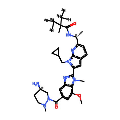 [2H]C([2H])([2H])C(C)(C(=O)N[C@H](C)c1ccc2cc(-c3nc4cc(C(=O)N5C[C@H](N)CCN5C)cc(OC)c4n3C)n(CC3CC3)c2n1)C([2H])([2H])[2H]